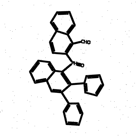 O=Cc1c([PH](=O)c2c(-c3ccccc3)c(-c3ccccc3)cc3ccccc23)ccc2ccccc12